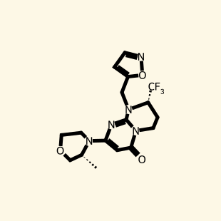 C[C@@H]1COCCN1c1cc(=O)n2c(n1)N(Cc1ccno1)[C@H](C(F)(F)F)CC2